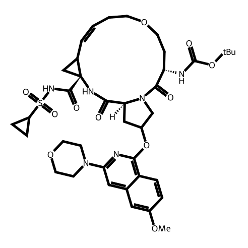 COc1ccc2c(OC3C[C@H]4C(=O)N[C@]5(C(=O)NS(=O)(=O)C6CC6)CC5/C=C\CCOCC[C@H](NC(=O)OC(C)(C)C)C(=O)N4C3)nc(N3CCOCC3)cc2c1